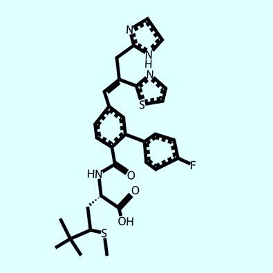 CSC(C[C@H](NC(=O)c1ccc(C=C(Cc2ncc[nH]2)c2nccs2)cc1-c1ccc(F)cc1)C(=O)O)C(C)(C)C